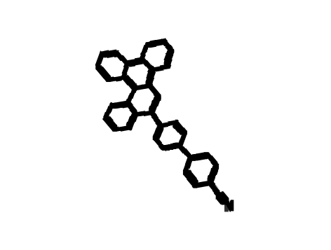 N#Cc1ccc(-c2ccc(-c3cc4c5ccccc5c5ccccc5c4c4ccccc34)cc2)cc1